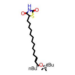 CCCC[C@H](C=CCCCCCCCCCCCC1SC(=O)NC1=O)O[Si](C)(C)C(C)(C)C